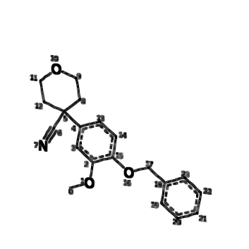 COc1cc(C2(C#N)CCOCC2)ccc1OCc1ccccc1